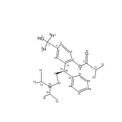 [2H]C([2H])(O)c1ccc(OC(=O)C(C)C)c([C@H](CCN(C(C)C)C(C)C)c2ccccc2)c1